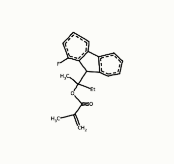 C=C(C)C(=O)OC(C)(CC)C1c2ccccc2-c2cccc(F)c21